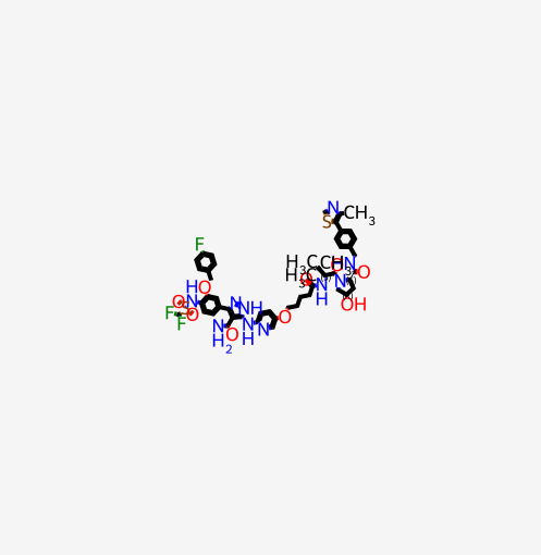 Cc1ncsc1-c1ccc(CNC(=O)[C@@H]2C[C@@H](O)CN2C(=O)[C@@H](NC(=O)CCCCOc2ccc(Nc3[nH]nc(-c4ccc(NS(=O)(=O)C(F)F)c(OCc5ccc(F)cc5)c4)c3C(N)=O)nc2)C(C)(C)C)cc1